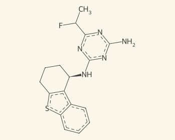 CC(F)c1nc(N)nc(N[C@@H]2CCCc3sc4ccccc4c32)n1